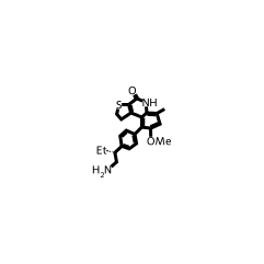 CC[C@@H](CN)c1ccc(-c2c(OC)cc(C)c3[nH]c(=O)c4c(c23)CCS4)cc1